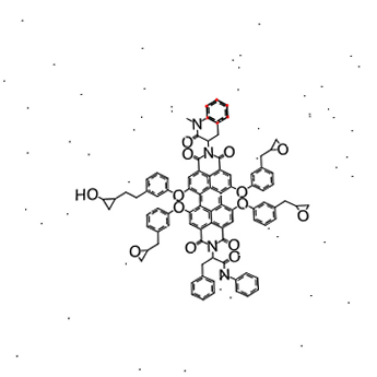 CN(C(=O)C(Cc1ccccc1)N1C(=O)c2cc(Oc3cccc(CCC4CC4O)c3)c3c4c(Oc5cccc(CC6CO6)c5)cc5c6c(cc(Oc7cccc(CC8CO8)c7)c(c7c(Oc8cccc(CC9CO9)c8)cc(c2c37)C1=O)c64)C(=O)N(C(Cc1ccccc1)C(=O)N(C)c1ccccc1)C5=O)c1ccccc1